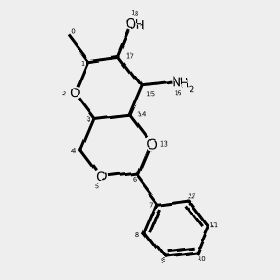 CC1OC2COC(c3ccccc3)OC2C(N)C1O